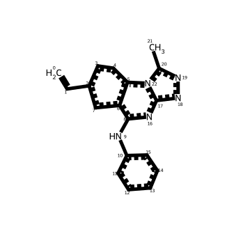 C=Cc1ccc2c(c1)c(Nc1ccccc1)nc1nnc(C)n12